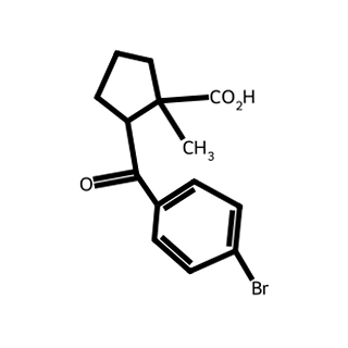 CC1(C(=O)O)CCCC1C(=O)c1ccc(Br)cc1